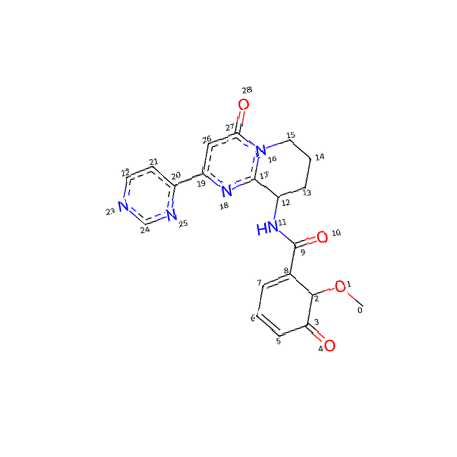 COC1C(=O)C=CC=C1C(=O)NC1CCCn2c1nc(-c1ccncn1)cc2=O